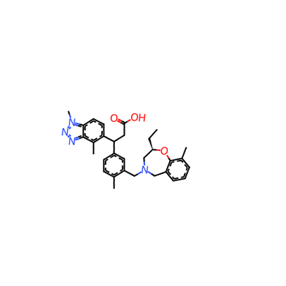 CC[C@@H]1CN(Cc2cc(C(CC(=O)O)c3ccc4c(nnn4C)c3C)ccc2C)Cc2cccc(C)c2O1